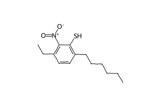 CCCCCCc1ccc(CC)c([N+](=O)[O-])c1S